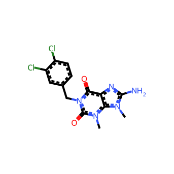 Cn1c(N)nc2c(=O)n(Cc3ccc(Cl)c(Cl)c3)c(=O)n(C)c21